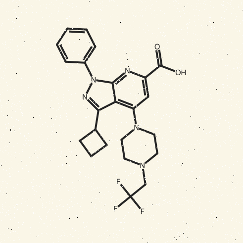 O=C(O)c1cc(N2CCN(CC(F)(F)F)CC2)c2c(C3CCC3)nn(-c3ccccc3)c2n1